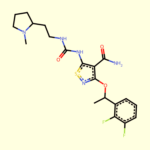 CC(Oc1nsc(NC(=O)NCCC2CCCN2C)c1C(N)=O)c1cccc(F)c1F